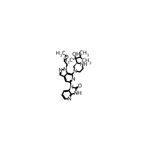 COCCn1ncc2cc(-n3c(=O)[nH]c4ncccc43)nc(N3CCN[C@H]([C@](C)(O)C(C)C)C3)c21